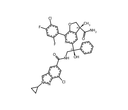 C[C@]1(C(N)=O)COc2c1cc([C@@](O)(CNC(=O)c1cc(Cl)c3nn(C4CC4)cc3c1)c1ccccc1)nc2-c1cc(Cl)c(F)cc1F